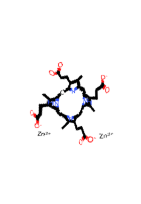 CC1=C(CCC(=O)[O-])c2cc3[nH]c(cc4nc(cc5[nH]c(cc1n2)c(CCC(=O)[O-])c5C)C(CCC(=O)[O-])=C4C)c(CCC(=O)[O-])c3C.[Zn+2].[Zn+2]